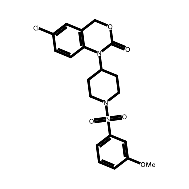 COc1cccc(S(=O)(=O)N2CCC(N3C(=O)OCc4cc(Cl)ccc43)CC2)c1